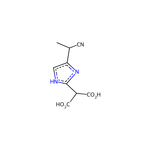 CC(C#N)c1c[nH]c(C(C(=O)O)C(=O)O)n1